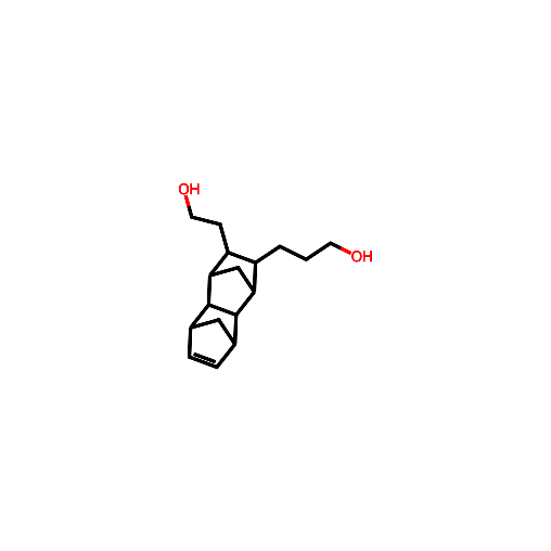 OCCCC1C(CCO)C2CC1C1C3C=CC(C3)C21